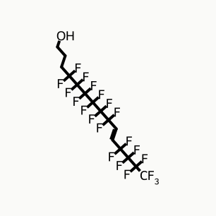 OCCCC(F)(F)C(F)(F)C(F)(F)C(F)(F)C(F)(F)C(F)(F)/C=C/C(F)(F)C(F)(F)C(F)(F)C(F)(F)F